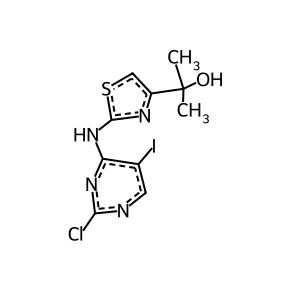 CC(C)(O)c1csc(Nc2nc(Cl)ncc2I)n1